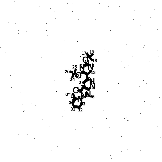 C[C@H](Oc1nn(C)c2nnc(-c3cnc(OC(C)(C)C)nc3OC(C)(C)C)cc12)c1ccccn1